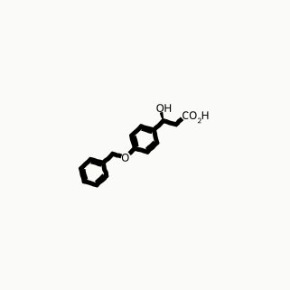 O=C(O)C[C@H](O)c1ccc(OCc2ccccc2)cc1